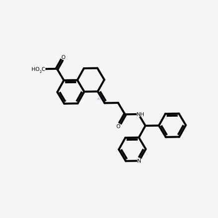 O=C(C/C=C1\CCCc2c(C(=O)C(=O)O)cccc21)NC(c1ccccc1)c1cccnc1